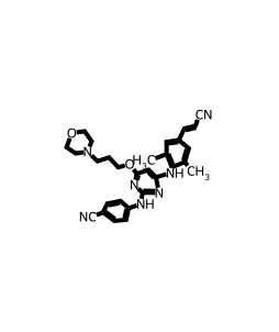 Cc1cc(C=CC#N)cc(C)c1Nc1cc(OCCCN2CCOCC2)nc(Nc2ccc(C#N)cc2)n1